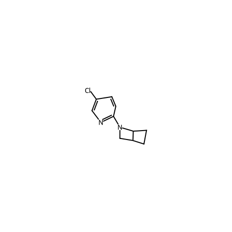 Clc1ccc(N2CC3CCC32)nc1